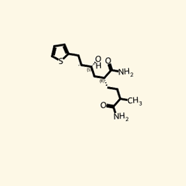 CC(CC[C@H](C[C@@H](O)[CH]Cc1cccs1)C(N)=O)C(N)=O